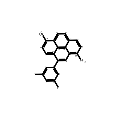 Cc1cc(C)cc(-c2cc3c(N)ccc4ccc5c(N)ccc2c5c43)c1